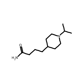 CC(C)N1CCC(CCCC(N)=O)CC1